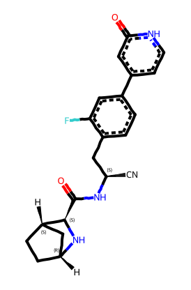 N#C[C@H](Cc1ccc(-c2cc[nH]c(=O)c2)cc1F)NC(=O)[C@H]1N[C@@H]2CC[C@H]1C2